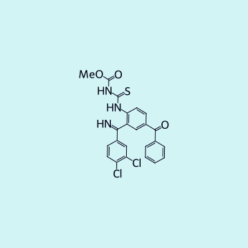 COC(=O)NC(=S)Nc1ccc(C(=O)c2ccccc2)cc1C(=N)c1ccc(Cl)c(Cl)c1